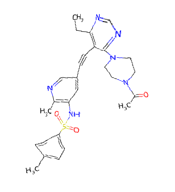 CCc1ncnc(N2CCN(C(C)=O)CC2)c1C#Cc1cnc(C)c(NS(=O)(=O)c2ccc(C)cc2)c1